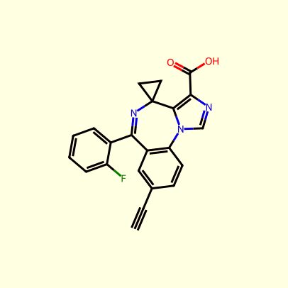 C#Cc1ccc2c(c1)C(c1ccccc1F)=NC1(CC1)c1c(C(=O)O)ncn1-2